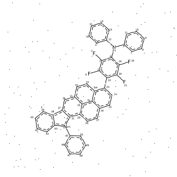 Fc1c(F)c(N(c2ccccc2)c2ccccc2)c(F)c(F)c1-c1ccc2ccc3c4c(ccc1c24)cc1c2ccccc2n(-c2ccccc2)c13